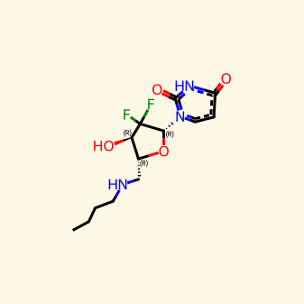 CCCCNC[C@H]1O[C@@H](n2ccc(=O)[nH]c2=O)C(F)(F)[C@@H]1O